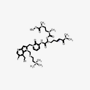 CC(C)Cc1c(F)cnc2cc(Cn3cccc(NC(=O)[C@H](CC/C=C/C(=O)N(C)C)OC(=O)N(C)CCN(C)C(=O)OC(C)(C)C)c3=O)n(COCC[Si](C)(C)C)c12